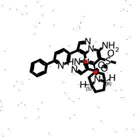 CS(=O)(=O)c1c([C@H]2C[C@H]3CC[C@@H](C2)N3C(=O)c2cn[nH]c2)nc2c(-c3ccc(-c4ccccc4)nc3)cnn2c1N